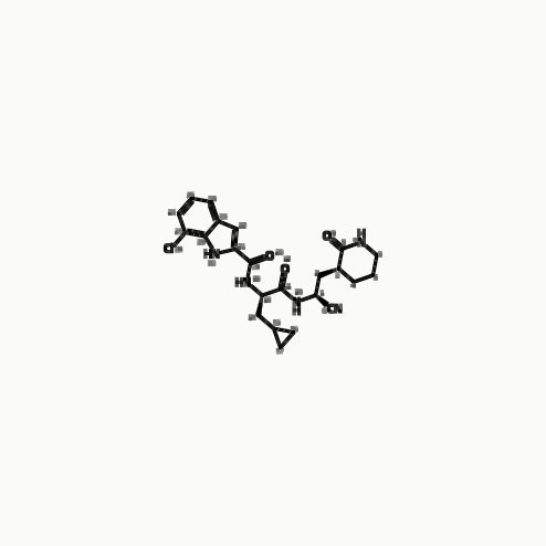 N#C[C@H](C[C@@H]1CCCNC1=O)NC(=O)[C@@H](CC1CC1)NC(=O)c1cc2cccc(Cl)c2[nH]1